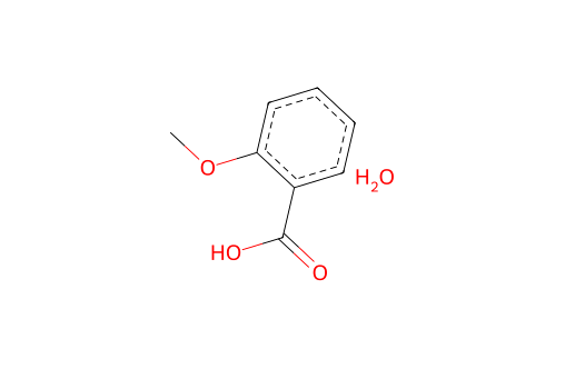 COc1ccccc1C(=O)O.O